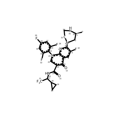 C[C@H]1CN(c2nc3c(cc2F)c(=O)c(C(=O)NC(C2CC2)C(F)(F)F)cn3-c2c(F)cc(F)cc2F)CCN1